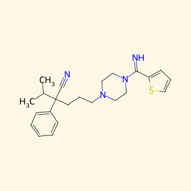 CC(C)C(C#N)(CCCN1CCN(C(=N)c2cccs2)CC1)c1ccccc1